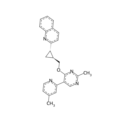 Cc1ccnc(-c2cnc(C)nc2OC[C@H]2C[C@@H]2c2ccc3ccccc3n2)c1